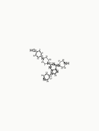 Oc1ccc(N2CCN(c3nc(N4CCNCC4)c4ncn(-c5ccncc5)c4n3)CC2)cc1